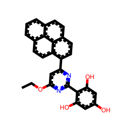 CCOc1cc(-c2ccc3ccc4cccc5ccc2c3c45)nc(-c2c(O)cc(O)cc2O)n1